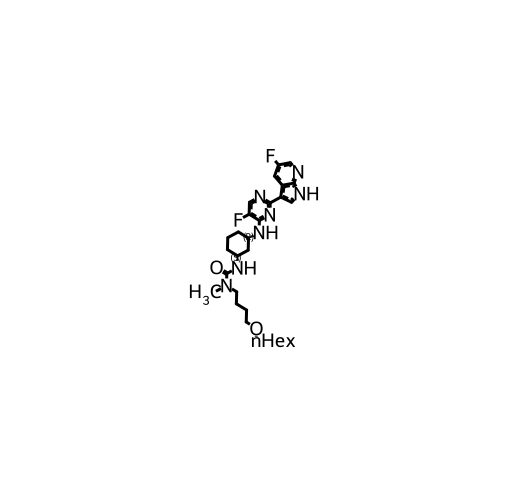 CCCCCCOCCCCN(C)C(=O)N[C@H]1CCC[C@@H](Nc2nc(-c3c[nH]c4ncc(F)cc34)ncc2F)C1